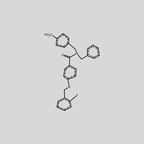 O=C(O)c1ccc(CN(Cc2ccccc2)C(=O)c2ccc(OCc3ccccc3F)cc2)cc1